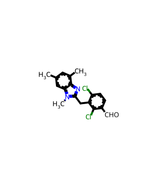 Cc1cc(C)c2nc(Cc3c(Cl)ccc(C=O)c3Cl)n(C)c2c1